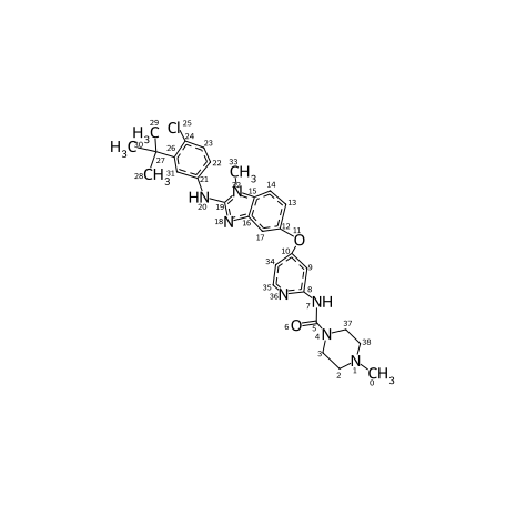 CN1CCN(C(=O)Nc2cc(Oc3ccc4c(c3)nc(Nc3ccc(Cl)c(C(C)(C)C)c3)n4C)ccn2)CC1